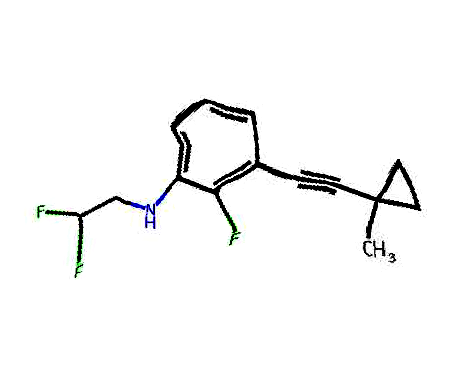 CC1(C#Cc2cccc(NCC(F)F)c2F)CC1